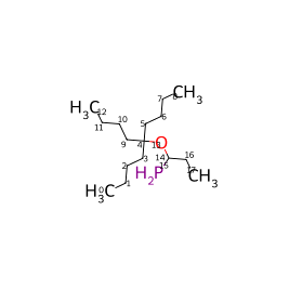 CCCCC(CCCC)(CCCC)OC(P)CC